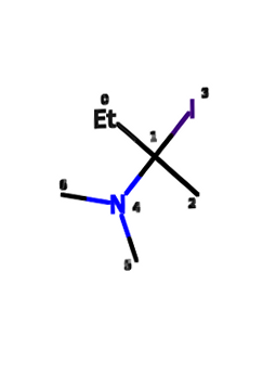 CCC(C)(I)N(C)C